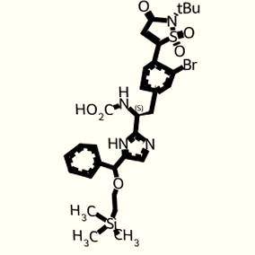 CC(C)(C)N1C(=O)C=C(c2ccc(C[C@H](NC(=O)O)c3ncc(C(OCC[Si](C)(C)C)c4ccccc4)[nH]3)cc2Br)S1(=O)=O